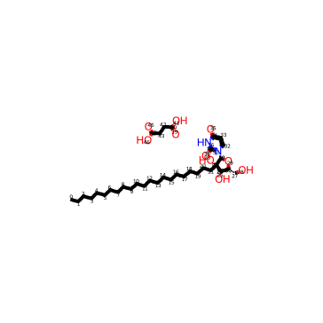 CCCCCCCCCCCCCCCCCCCCCC[C@@]1(O)[C@H](O)[C@@H](CO)O[C@H]1n1ccc(=O)[nH]c1=O.O=C(O)CCC(=O)O